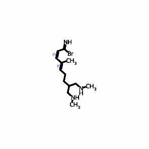 CNCC(CC/C=C(C)/C=C\C(=N)Br)CNC